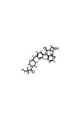 CCC(C)(C)C(=O)N1CCC(Cc2ccc(N(C(=O)C3CNC3)c3cccnn3)cc2)CC1